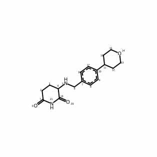 O=C1CCC(NCc2ccc(C3CCOCC3)cc2)C(=O)N1